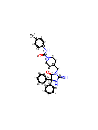 CCc1ccc(NC(=O)N2CCC(CN3C(=N)NC(c4ccccc4)(c4ccccc4)C3=O)CC2)cc1